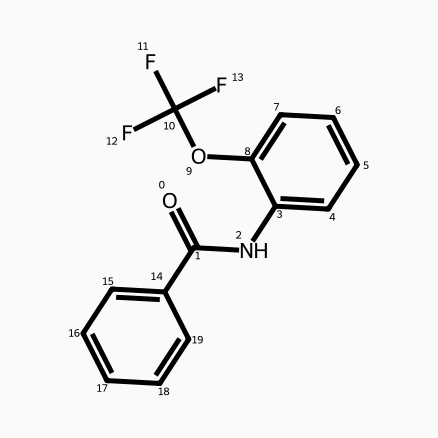 O=C(Nc1ccccc1OC(F)(F)F)c1ccccc1